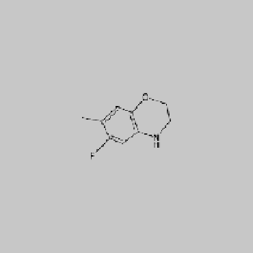 Cc1cc2c(cc1F)NCCO2